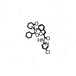 O=C(Nc1ccc(Cl)cn1)c1cc2cccc(N(C(=O)C3CCCCC3)N3CCCCC3=O)c2o1